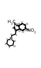 Cn1cc(CCN2CCCCC2)c2cc([N+](=O)[O-])ccc21